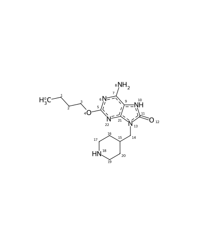 CCCCOc1nc(N)c2[nH]c(=O)n(CC3CCNCC3)c2n1